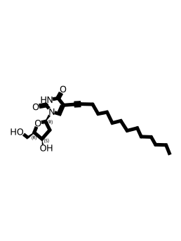 CCCCCCCCCCCCC#Cc1cn([C@H]2C[C@H](O)[C@@H](CO)O2)c(=O)[nH]c1=O